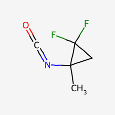 CC1(N=C=O)CC1(F)F